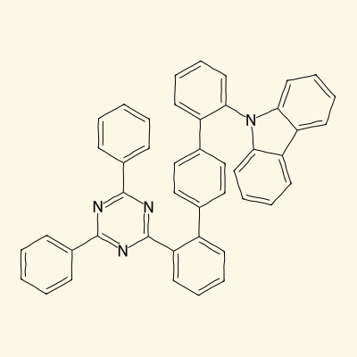 c1ccc(-c2nc(-c3ccccc3)nc(-c3ccccc3-c3ccc(-c4ccccc4-n4c5ccccc5c5ccccc54)cc3)n2)cc1